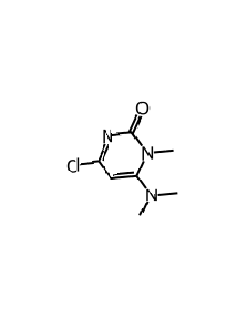 CN(C)c1cc(Cl)nc(=O)n1C